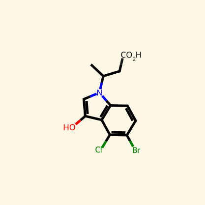 CC(CC(=O)O)n1cc(O)c2c(Cl)c(Br)ccc21